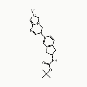 CC(C)(C)OC(=O)NC1Cc2ccc(N3C=NC4=C[S+]([O-])CN4C3)cc2C1